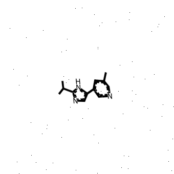 Cc1cncc(-c2cnc(C(C)C)[nH]2)c1